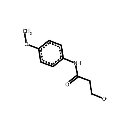 COc1ccc(NC(=O)CC[O])cc1